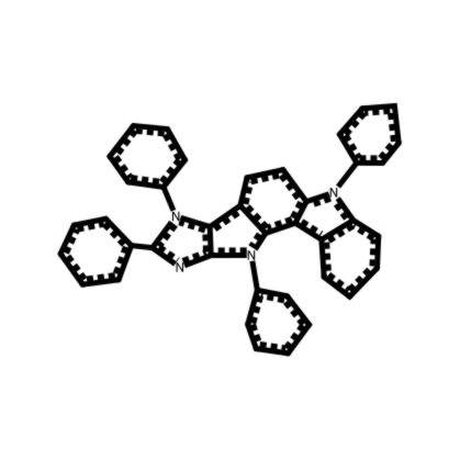 c1ccc(-c2nc3c(c4ccc5c(c6ccccc6n5-c5ccccc5)c4n3-c3ccccc3)n2-c2ccccc2)cc1